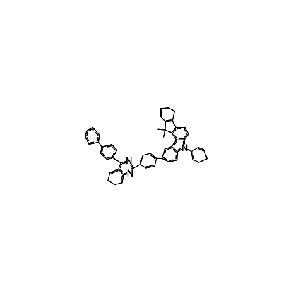 CC1(C)C2=C(CCC=C2)c2ccc3c(c21)c1cc(C2=CCC(c4nc(-c5ccc(-c6ccccc6)cc5)c5c(n4)=CCCC=5)C=C2)ccc1n3C1=CCCC=C1